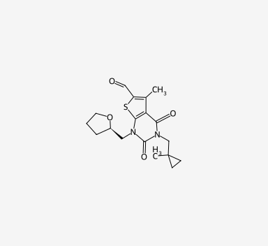 Cc1c(C=O)sc2c1c(=O)n(CC1(C)CC1)c(=O)n2C[C@H]1CCCO1